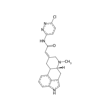 CN1CC(=CC(=O)Nc2ccc(Cl)nn2)CC2c3cccc4[nH]cc(c34)C[C@H]21